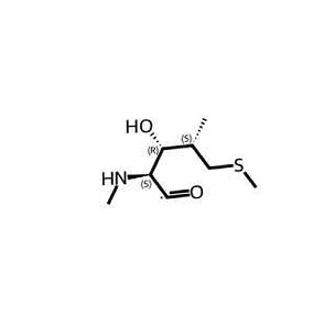 CN[C@H]([C]=O)[C@H](O)[C@H](C)CSC